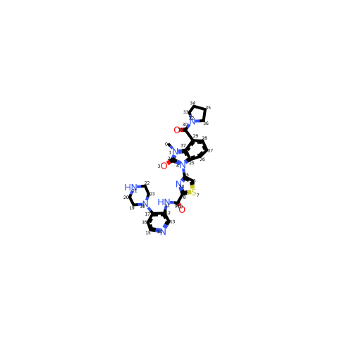 Cn1c(=O)n(-c2csc(C(=O)Nc3cnccc3N3CCNCC3)n2)c2cccc(C(=O)N3CCCC3)c21